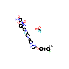 Cn1c(=O)n(C2CCC(=O)NC2=O)c2cccc(C3CCN(CC4(F)CCN(C5CC6(CCN(c7nccc(COc8ccc(C(C)(C)c9cc(Cl)cc(C#N)c9)cc8)n7)CC6)C5)CC4)CC3)c21.O=C(O)C(F)(F)F